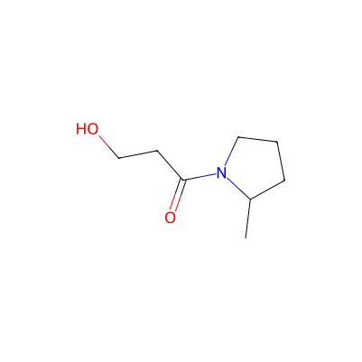 CC1CCCN1C(=O)CCO